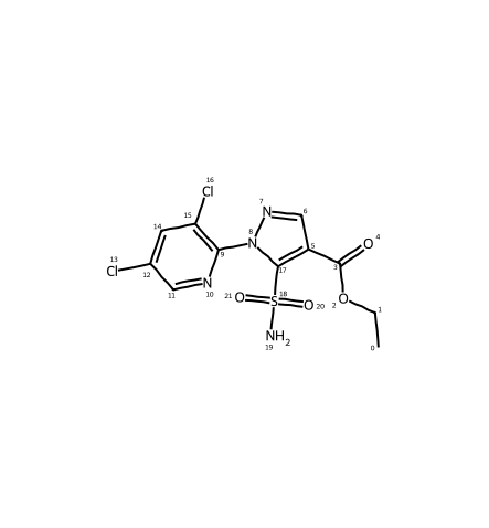 CCOC(=O)c1cnn(-c2ncc(Cl)cc2Cl)c1S(N)(=O)=O